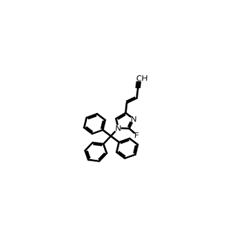 C#CC=Cc1cn(C(c2ccccc2)(c2ccccc2)c2ccccc2)c(F)n1